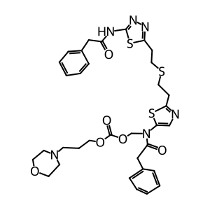 O=C(Cc1ccccc1)Nc1nnc(CCSCCc2ncc(N(COC(=O)OCCCN3CCOCC3)C(=O)Cc3ccccc3)s2)s1